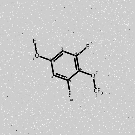 FOc1cc(F)c(OC(F)(F)F)c(F)c1